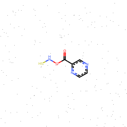 O=C(ONS)c1cnccn1